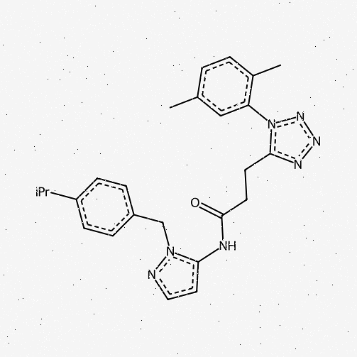 Cc1ccc(C)c(-n2nnnc2CCC(=O)Nc2ccnn2Cc2ccc(C(C)C)cc2)c1